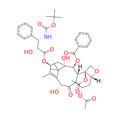 CC(=O)O[C@H]1C[C@H]2OC[C@@]2(OC(C)=O)[C@H]2[C@H](OC(=O)c3ccccc3)[C@]3(O)C[C@H](OC(=O)[C@H](O)[C@@H](NC(=O)OC(C)(C)C)c4ccccc4)C(C)=C([C@@H](O)C(=O)[C@]12C)C3(C)C